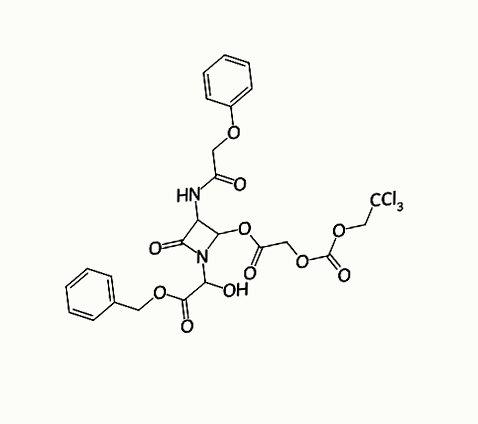 O=C(COc1ccccc1)NC1C(=O)N(C(O)C(=O)OCc2ccccc2)C1OC(=O)COC(=O)OCC(Cl)(Cl)Cl